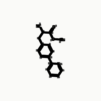 CC(C)(C)OC(=O)C(C#N)Cc1ccc(-c2ccccn2)cc1